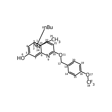 CCCCC1N=C2C=C(O)C=C3N=C(OCc4ccc(OC(F)(F)F)cc4)C=CC32N1C